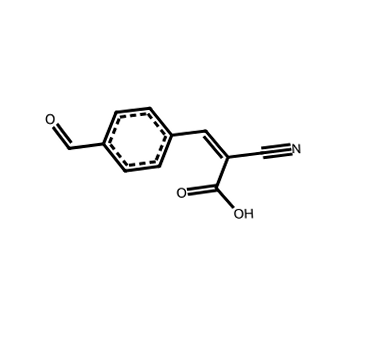 N#CC(=Cc1ccc(C=O)cc1)C(=O)O